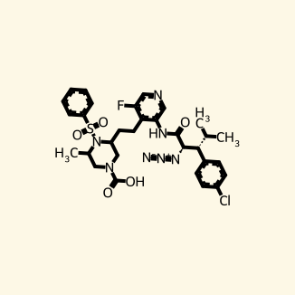 CC(C)[C@H](c1ccc(Cl)cc1)[C@H](N=[N+]=[N-])C(=O)Nc1cncc(F)c1CCC1CN(C(=O)O)CC(C)N1S(=O)(=O)c1ccccc1